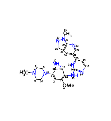 COc1cc(N2CCN(C)CC2)c(N)cc1Nc1nccc(-c2cnc3c(cnn3C)c2)n1